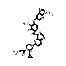 C=CC(=O)N1CCN(c2ccc3ncnc(Nc4ccc(Oc5cnc6c(c5)ncn6C)c(C)c4F)c3n2)C[C@H]1C1CC1